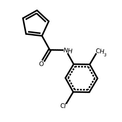 Cc1ccc(Cl)cc1NC(=O)C1=CC=C=C1